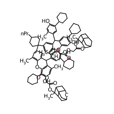 CCCC1CCC(c2cc(C)c(OCC(=O)OCC(=O)OC3(C)C4CC5CC(C4)CC3C5)c(C(c3cc(C4CCCCC4)c(O)cc3C)c3cc(C4CCCCC4)c(O)cc3C)c2)(c2cc(C)c(OCC(=O)OCC(=O)OC3(C)C4CC5CC(C4)CC3C5)c(C(c3cc(C4CCCCC4)c(O)cc3C)c3cc(C4CCCCC4)c(O)cc3C)c2)CC1